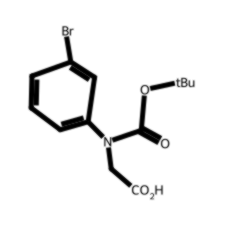 CC(C)(C)OC(=O)N(CC(=O)O)c1cccc(Br)c1